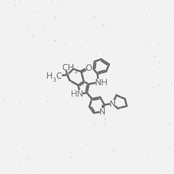 CC1(C)CC(=O)c2c([nH]c(-c3ccnc(N4CCCC4)c3)c2Nc2ccccc2)C1